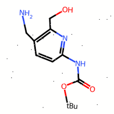 CC(C)(C)OC(=O)Nc1ccc(CN)c(CO)n1